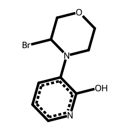 Oc1ncccc1N1CCOCC1Br